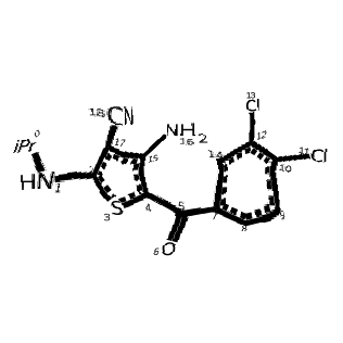 CC(C)Nc1sc(C(=O)c2ccc(Cl)c(Cl)c2)c(N)c1C#N